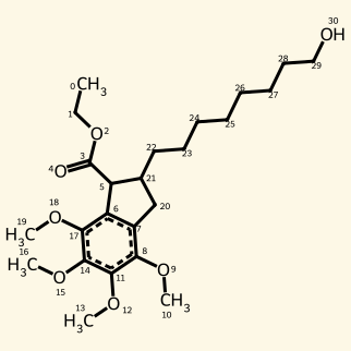 CCOC(=O)C1c2c(c(OC)c(OC)c(OC)c2OC)CC1CCCCCCCCO